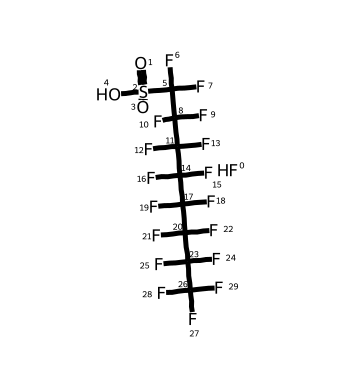 F.O=S(=O)(O)C(F)(F)C(F)(F)C(F)(F)C(F)(F)C(F)(F)C(F)(F)C(F)(F)C(F)(F)F